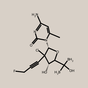 BC(B)(O)C1O[C@@H](n2c(C)cc(N)nc2=O)C(Cl)(C#CCF)[C@H]1O